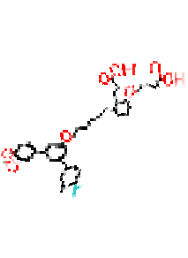 Cc1cc(-c2cc(OCCCCCCc3cccc(OCCCC(=O)O)c3CCC(=O)O)cc(-c3ccc4c(c3)OCO4)c2)ccc1F